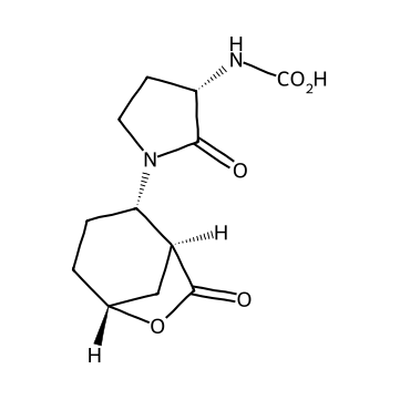 O=C(O)N[C@H]1CCN([C@H]2CC[C@@H]3C[C@@H]2C(=O)O3)C1=O